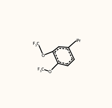 [CH2]C(C)c1ccc(OC(F)(F)F)c(OC(F)(F)F)c1